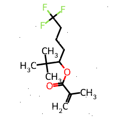 C=C(C)C(=O)OC(CCCC(F)(F)F)C(C)(C)C